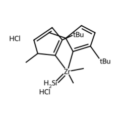 CC1C=CC(C(C)(C)C)=[C]1[Zr]([CH3])([CH3])(=[SiH2])[C]1=C(C(C)(C)C)C=CC1C.Cl.Cl